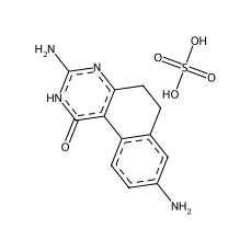 Nc1ccc2c(c1)CCc1nc(N)[nH]c(=O)c1-2.O=S(=O)(O)O